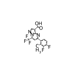 Cc1c(-c2cc(C(F)(F)F)n3ncc(C(=O)O)c3n2)ccc(F)c1F